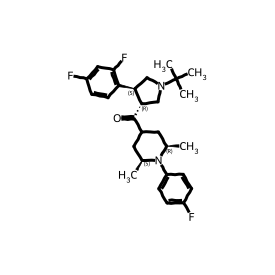 C[C@@H]1CC(C(=O)[C@H]2CN(C(C)(C)C)C[C@@H]2c2ccc(F)cc2F)C[C@H](C)N1c1ccc(F)cc1